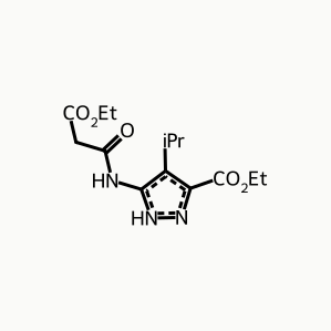 CCOC(=O)CC(=O)Nc1[nH]nc(C(=O)OCC)c1C(C)C